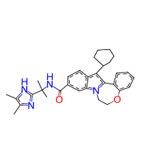 Cc1nc(C(C)(C)NC(=O)c2ccc3c(C4CCCCC4)c4n(c3c2)CCOc2ccccc2-4)[nH]c1C